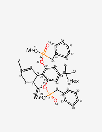 C=C(C)C1CCC(C)=CC1c1c(OP(=O)(Cc2ccccc2)OC)cc(C(C)(C)CCCCCC)cc1OP(=O)(Cc1ccccc1)OC